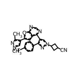 Cc1nn(C)cc1-c1cc2c(-c3cn(C4CC(C#N)C4)nc3-c3ccc(F)cc3)ncnc2o1